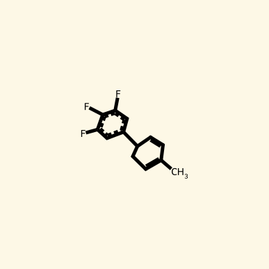 CC1=CCC(c2cc(F)c(F)c(F)c2)C=C1